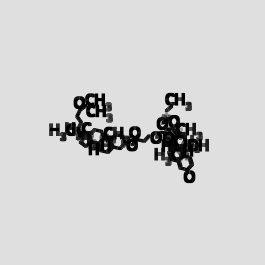 CCC[C@H]1OC2C[C@@]3(C)[C@@H]4CCC5=CC(=O)C=C[C@]5(C)[C@H]4[C@@H](O)C[C@]3(C)[C@]2(C(=O)COCCC(=O)O[C@H]2CC[C@@]3(C)C(=CC[C@H]4[C@@H]5CC[C@H]([C@H](C)CCC6OC6(C)C)[C@@]5(C)CC[C@@H]43)C2)O1